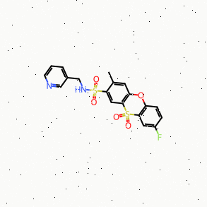 Cc1cc2c(cc1S(=O)(=O)NCc1cccnc1)S(=O)(=O)c1cc(F)ccc1O2